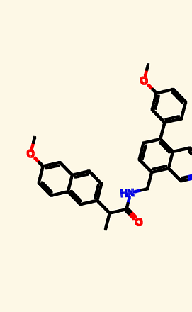 COc1cccc(-c2ccc(CNC(=O)C(C)c3ccc4cc(OC)ccc4c3)c3cnccc23)c1